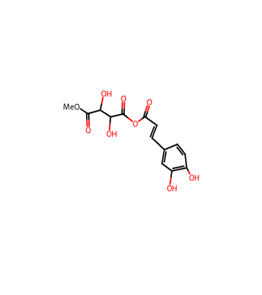 COC(=O)C(O)C(O)C(=O)OC(=O)C=Cc1ccc(O)c(O)c1